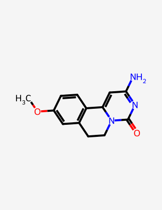 COc1ccc2c(c1)CCn1c-2cc(N)nc1=O